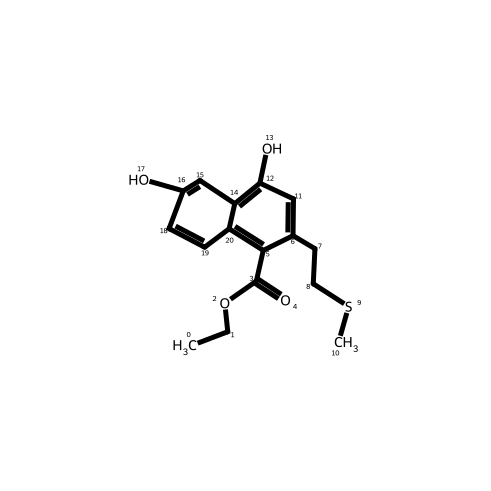 CCOC(=O)c1c(CCSC)cc(O)c2cc(O)ccc12